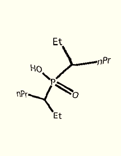 CCCC(CC)P(=O)(O)C(CC)CCC